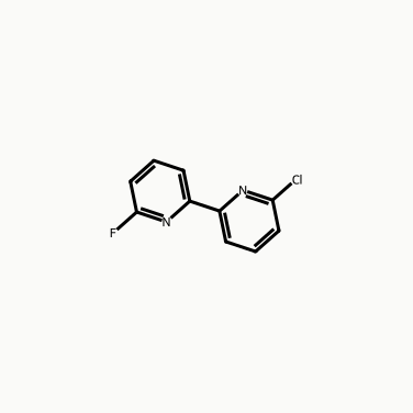 Fc1cccc(-c2cccc(Cl)n2)n1